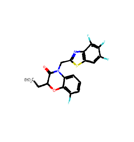 CCOC(=O)CC1Oc2c(F)cccc2N(Cc2nc3c(F)c(F)c(F)cc3s2)C1=O